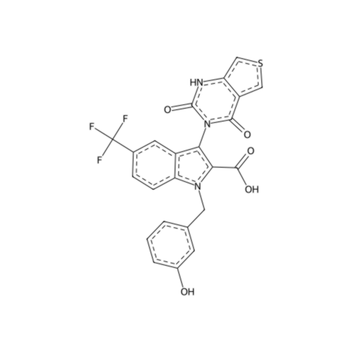 O=C(O)c1c(-n2c(=O)[nH]c3cscc3c2=O)c2cc(C(F)(F)F)ccc2n1Cc1cccc(O)c1